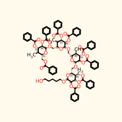 C[C@H]1[C@H](OC(=O)c2ccccc2)[C@@H](OC(=O)c2ccccc2)[C@H](OC[C@H]2O[C@@H](OC[C@H]3O[C@@H](OC[C@H]4O[C@@H](OCCCCCO)[C@H](OC(=O)c5ccccc5)[C@@H](OC(=O)c5ccccc5)[C@@H]4C)[C@H](OC(=O)c4ccccc4)[C@@H](OC(=O)c4ccccc4)[C@@H]3C)[C@H](OC(=O)c3ccccc3)[C@@H](OC(=O)c3ccccc3)[C@@H]2C)O[C@@H]1COC(=O)c1ccccc1